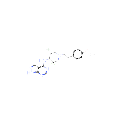 Cl.FC(F)(F)Oc1ccc(CCN2CCC(Nc3ncnc4[nH]ncc34)C(F)(F)C2)cc1